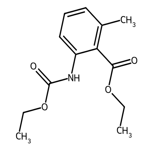 CCOC(=O)Nc1cccc(C)c1C(=O)OCC